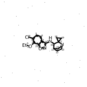 CCOc1c(Cl)ccc2c(NC3C4CCN(CC4)C34CC4)noc12